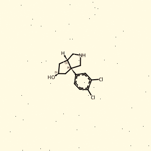 O[C@H]1C[C@@H]2CNC[C@]2(c2ccc(Cl)c(Cl)c2)C1